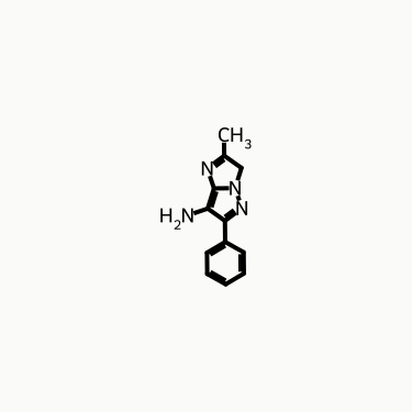 CC1=Nc2c(N)c(-c3ccccc3)nn2C1